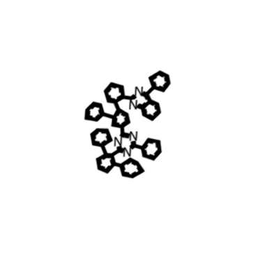 c1ccc(-c2nc(-c3ccc(-c4ccccc4-c4nc(-c5ccccc5)c5ccccc5n4)c(-c4ccccc4)c3)nc(-c3c(-c4ccccc4)cccc3-c3ccccc3)n2)cc1